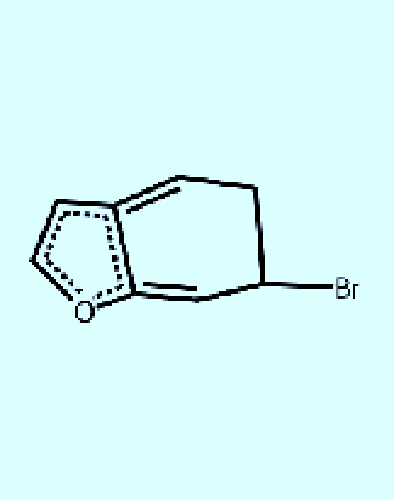 BrC1C=c2occc2=CC1